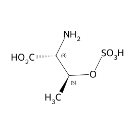 C[C@H](OS(=O)(=O)O)[C@@H](N)C(=O)O